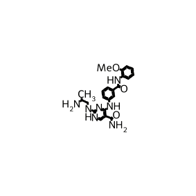 COc1ccccc1NC(=O)c1cccc(Nc2nc(NCC(C)N)ncc2C(N)=O)c1